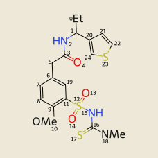 CCC(NC(=O)Cc1ccc(OC)c(S(=O)(=O)NC(=S)NC)c1)c1ccsc1